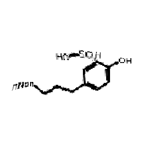 CCCCCCCCCCCCc1ccc(O)cc1.O=S(=O)(O)O